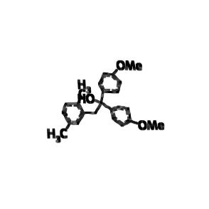 COc1ccc(C(O)(Cc2cc(C)ccc2C)c2ccc(OC)cc2)cc1